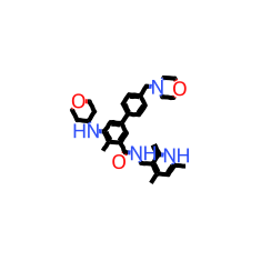 C=C1NC(C)=CC(C)=C1CNC(=O)c1cc(-c2ccc(CN3CCOCC3)cc2)cc(NC2CCOCC2)c1C